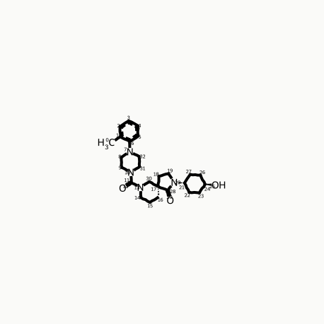 Cc1ccccc1N1CCN(C(=O)N2CCC[C@@]3(CCN([C@H]4CC[C@H](O)CC4)C3=O)C2)CC1